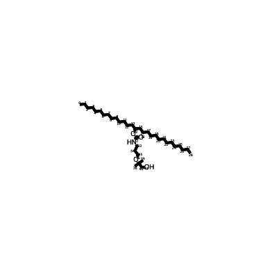 CCCCCCCCCCCCCCC(CCCCCCCCCCCCCC)OC(=O)NCCCOC(C)(C)CO